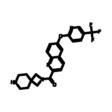 O=C(c1ccc2cc(Oc3ccc(C(F)(F)F)cn3)ccc2n1)N1CC2(CCNCC2)C1